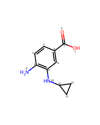 Nc1ccc(C(=O)O)cc1NC1CC1